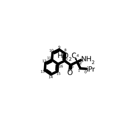 CC(C)C[C@](N)(C(=O)O)C(=O)c1cccc2ccccc12